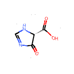 O=C(O)[C@H]1NC=NC1=O